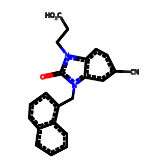 N#Cc1ccc2c(c1)n(Cc1cccc3ccccc13)c(=O)n2CCC(=O)O